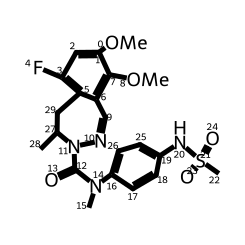 COc1cc(F)c2c(c1OC)C=NN(C(=O)N(C)c1ccc(NS(C)(=O)=O)cc1)C(C)C2